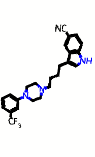 N#Cc1ccc2[nH]cc(CCCCN3CCN(c4cccc(C(F)(F)F)c4)CC3)c2c1